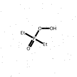 CCP(=O)(CC)OO